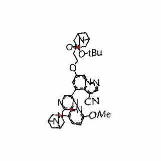 COc1ccc(CN2C3CC2CN(c2cnc(-c4cc(OCCN5CC6CC(C5)N6C(=O)OC(C)(C)C)cn5ncc(C#N)c45)cn2)C3)cn1